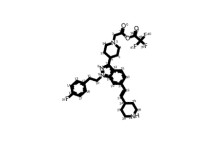 O=C(CN1CCC(c2nn(CCc3ccc(F)cc3)c3cc(C=CC4CCNCC4)ccc23)CC1)OC(=O)C(F)(F)F